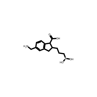 NCc1ccc2c(c1)CC(CCCB(O)O)C2C(=O)O